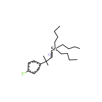 CCC[CH2][Sn](/[CH]=C/C(C)(C)c1ccc(F)cc1)([CH2]CCC)[CH2]CCC